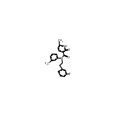 Cc1ccc(C(=O)N(CCc2cccc(F)c2)c2cccc(C(F)(F)F)c2)c(=O)[nH]1